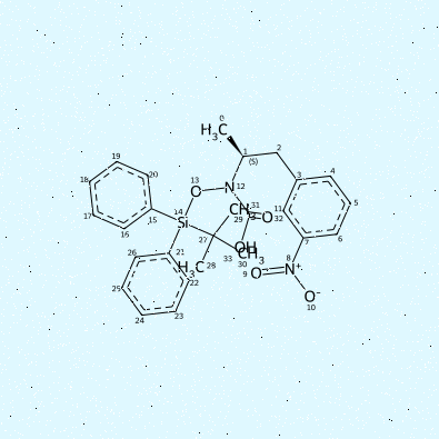 C[C@@H](Cc1cccc([N+](=O)[O-])c1)N(O[Si](c1ccccc1)(c1ccccc1)C(C)(C)C)C(=O)O